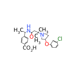 CC(NC(=O)CC(C)(C)N1CC[C@@H](Oc2cccc(Cl)c2)C1)c1ccc(C(=O)O)cc1